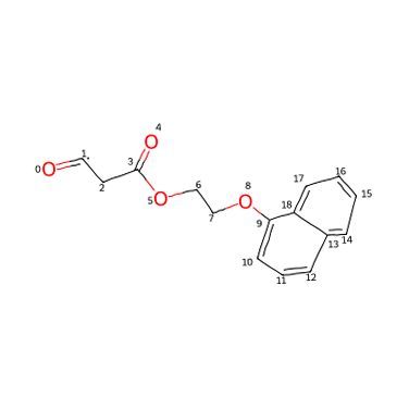 O=[C]CC(=O)OCCOc1cccc2ccccc12